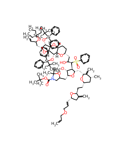 C=CCOC/C=C/[C@H]1CC(=C)[C@H](CC[C@H]2C[C@@H](C)C(=C)[C@@H](C[C@@H]3O[C@H](CC4CN(C(=O)OC(C)(C)C)C(C)(C)O4)[C@H](OC)[C@H]3[C@@H](C(O)C[C@H]3CC[C@@H]4O[C@@H]5[C@@H](O[C@H](CC(C=C)O[Si](CC)(CC)CC)[C@@H]5O[Si](c5ccccc5)(c5ccccc5)C(C)(C)C)[C@@H](O[Si](c5ccccc5)(c5ccccc5)C(C)(C)C)[C@H]4O3)S(=O)(=O)c3ccccc3)O2)O1